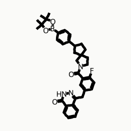 CC1(C)OB(c2ccc(C3CCC4(CCN(C(=O)c5cc(Cc6n[nH]c(=O)c7ccccc67)ccc5F)C4)C3)cc2)OC1(C)C